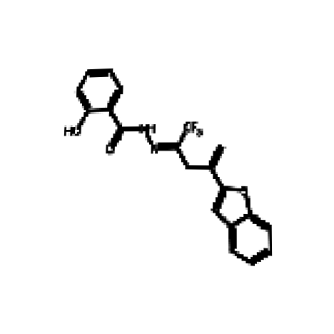 C=C(C/C(=N/NC(=O)c1ccccc1O)C(F)(F)F)c1cc2ccccc2s1